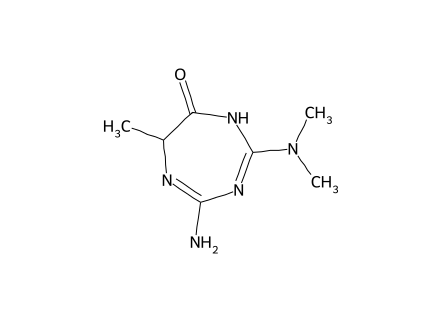 CC1N=C(N)N=C(N(C)C)NC1=O